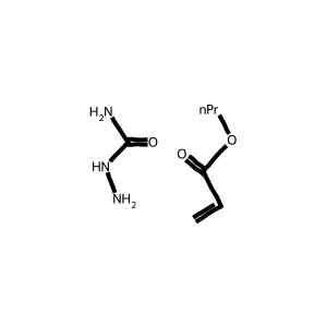 C=CC(=O)OCCC.NNC(N)=O